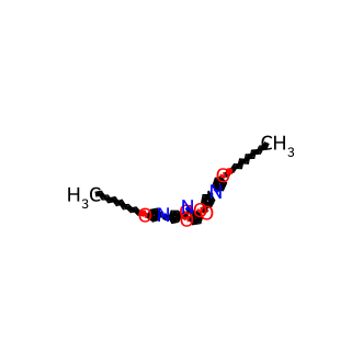 CCCCCCCCCCCCCCOc1ccc(/N=C/c2ccc(C(=O)Oc3cccc(OC(=O)c4ccc(/C=N/c5ccc(OCCCCCCCCCCCCCC)cc5)cc4)c3C#N)cc2)cc1